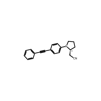 N#CC[C@@H]1CCCN1c1ccc(C#Cc2ccccc2)cc1